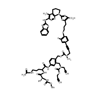 C#CCOC(=O)N(CC#C)Cc1cc(NC(=O)C(CCCNC(N)=O)NC(=O)[C@@H](NC(=O)OC(C)(C)C)C(C)C)ccc1COC(=O)N(C)CC#Cc1ccc(OCCCc2sc(N3CCCc4c3nnc(Nc3nc5ccccc5s3)c4C)nc2C(=O)O)c(F)c1